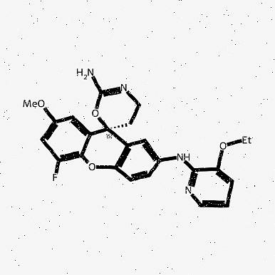 CCOc1cccnc1Nc1ccc2c(c1)[C@@]1(CCN=C(N)O1)c1cc(OC)cc(F)c1O2